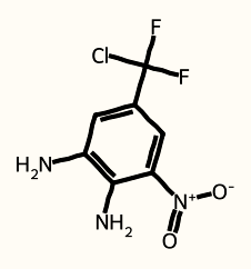 Nc1cc(C(F)(F)Cl)cc([N+](=O)[O-])c1N